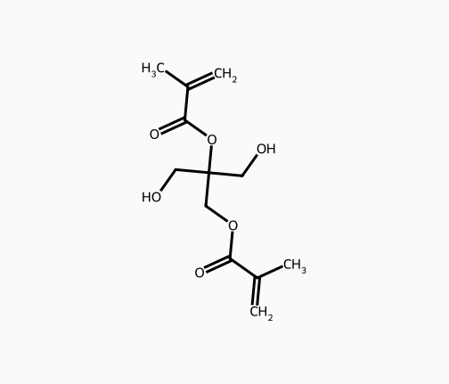 C=C(C)C(=O)OCC(CO)(CO)OC(=O)C(=C)C